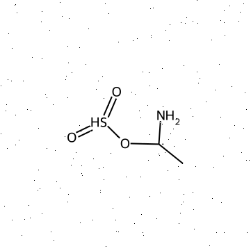 C[C](N)O[SH](=O)=O